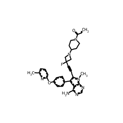 C=CC(=O)N1CCC(N2CC(F)(C#Cc3c(-c4ccc(Oc5cccc(C)n5)cc4)c4c(N)ncnc4n3C)C2)CC1